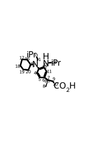 CC(C)CN(c1ccc([C@H](C)CC(=O)O)cc1NC(C)C)C1CCCCC1